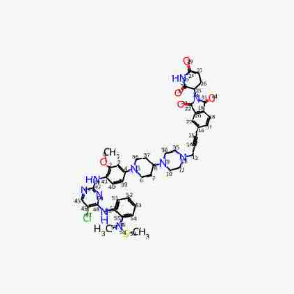 COc1cc(N2CCC(N3CCN(CC#Cc4ccc5c(c4)C(=O)N(C4CCC(=O)NC4=O)C5=O)CC3)CC2)ccc1Nc1ncc(Cl)c(Nc2ccccc2N(C)SC)n1